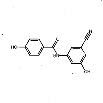 N#Cc1cc(O)cc(NC(=O)c2ccc(O)cc2)c1